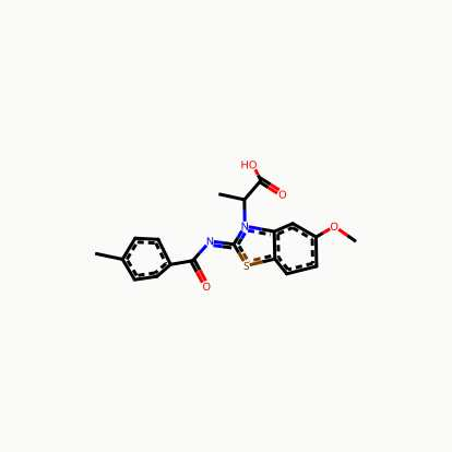 COc1ccc2sc(=NC(=O)c3ccc(C)cc3)n(C(C)C(=O)O)c2c1